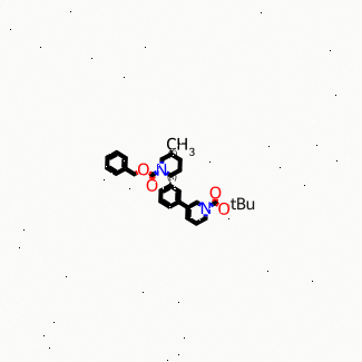 C[C@H]1CC[C@H](c2cccc(C3=CCCN(C(=O)OC(C)(C)C)C3)c2)N(C(=O)OCc2ccccc2)C1